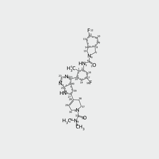 Cc1c(NC(=O)N2Cc3ccc(F)cc3C2)cc(F)cc1-c1ncnc2[nH]c(C3=CCN(C(=O)N(C)C)CC3)cc12